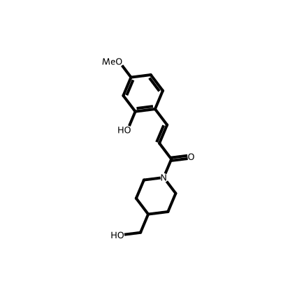 COc1ccc(C=CC(=O)N2CCC(CO)CC2)c(O)c1